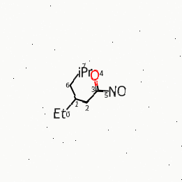 CCC(CC(=O)N=O)CC(C)C